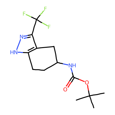 CC(C)(C)OC(=O)NC1CCc2[nH]nc(C(F)(F)F)c2C1